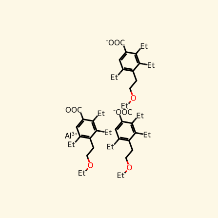 CCOCCc1c(CC)cc(C(=O)[O-])c(CC)c1CC.CCOCCc1c(CC)cc(C(=O)[O-])c(CC)c1CC.CCOCCc1c(CC)cc(C(=O)[O-])c(CC)c1CC.[Al+3]